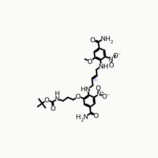 COc1cc(C(N)=O)cc([N+](=O)[O-])c1NC/C=C/CNc1c(OCCCNC(=O)OC(C)(C)C)cc(C(N)=O)cc1[N+](=O)[O-]